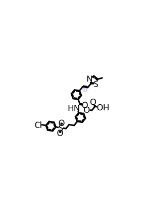 Cc1cnc(/C=C/c2cccc(C(=O)Nc3cc(CCCS(=O)(=O)c4ccc(Cl)cc4)ccc3OCC(=O)O)c2)s1